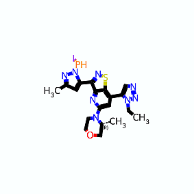 CCn1nncc1-c1cc(N2CCOC[C@H]2C)nc2c(-c3cc(C)nn3PI)nsc12